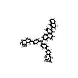 c1ccc2cc(-c3ccc4c(ccc5cc(N(c6ccc(-c7ccc8cncnc8c7)cc6)c6ccc(-c7ccc8cncnc8c7)cc6)ccc54)c3)ccc2c1